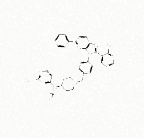 [2H]C([2H])([2H])N(c1ccnc(C#N)n1)C1CCN(Cc2ccc(-n3c(-c4cccnc4N)nc4ccc(-c5ccccc5)nc43)cc2)CC1